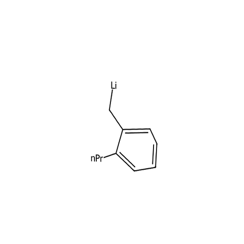 [Li][CH2]c1ccccc1CCC